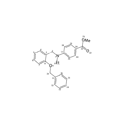 CCN(Cc1ccccc1OCc1ccccc1)c1ccc(C(=O)OC)cc1